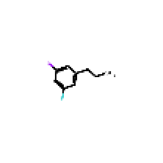 Fc1cc(I)cc(CC[SiH3])c1